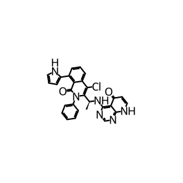 C[C@H](Nc1ncnc2[nH]ccc(=O)c12)c1c(Cl)c2cccc(-c3ccc[nH]3)c2c(=O)n1-c1ccccc1